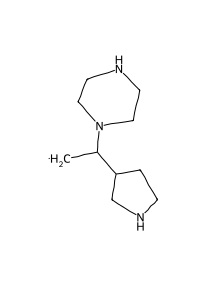 [CH2]C(C1CCNC1)N1CCNCC1